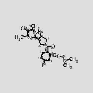 Cc1nc2c3c(nn2c(C)c1Cl)CN(C(=O)c1ccc(F)cc1OCCN(C)C)C3